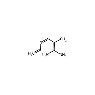 C=C/N=C\C(C)=C(N)N